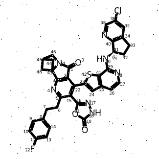 O=C1c2c(nc(CCc3ccc(F)cc3)c(-c3n[nH]c(=O)o3)c2-c2cc3ccnc(N[C@@H]4CCc5cc(Cl)cnc54)c3s2)C23CC(CN12)C3